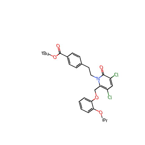 CC(C)Oc1ccccc1OCc1c(Cl)cc(Cl)c(=O)n1CCc1ccc(C(=O)OC(C)(C)C)cc1